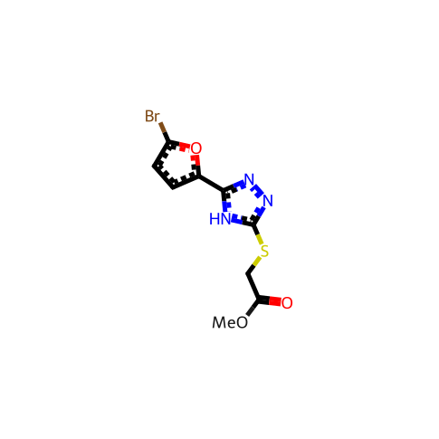 COC(=O)CSc1nnc(-c2ccc(Br)o2)[nH]1